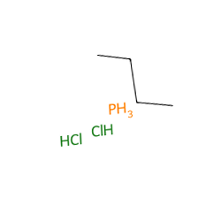 CCCC.Cl.Cl.P